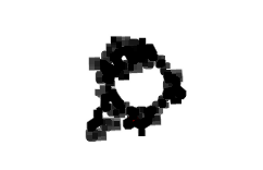 C=C1C[C@@H]2CC[C@@]34C[C@@]5(C)O[C@H]6[C@@H](O3)[C@H]3O[C@H](CC[C@@H]3O[C@H]6[C@H]5O4)CC(=O)C[C@@H]3[C@@H](C)[C@@H](C[C@H](O)CO)O[C@H]3C[C@H]3O[C@@H](CC[C@@H]1O2)C[C@@H](C)C3=C